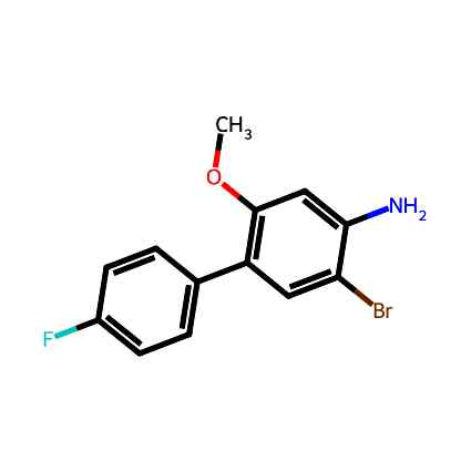 COc1cc(N)c(Br)cc1-c1ccc(F)cc1